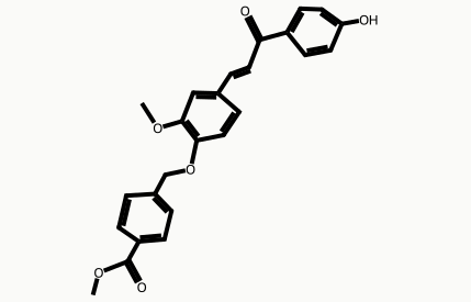 COC(=O)c1ccc(COc2ccc(C=CC(=O)c3ccc(O)cc3)cc2OC)cc1